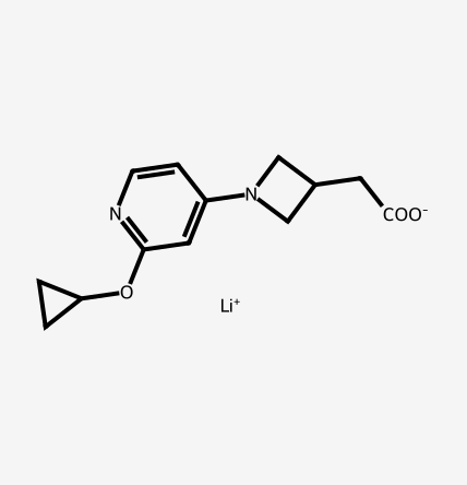 O=C([O-])CC1CN(c2ccnc(OC3CC3)c2)C1.[Li+]